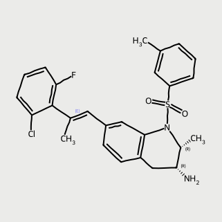 C/C(=C\c1ccc2c(c1)N(S(=O)(=O)c1cccc(C)c1)[C@H](C)[C@H](N)C2)c1c(F)cccc1Cl